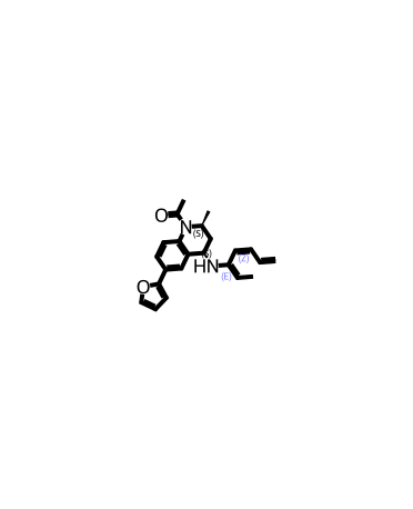 C=C/C=C\C(=C/C)N[C@H]1C[C@H](C)N(C(C)=O)c2ccc(-c3ccco3)cc21